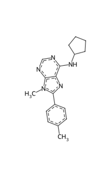 Cc1ccc(-c2nc3c(NC4CCCC4)ncnc3n2C)cc1